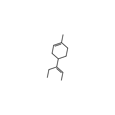 CC=C(CC)C1CC=C(C)CC1